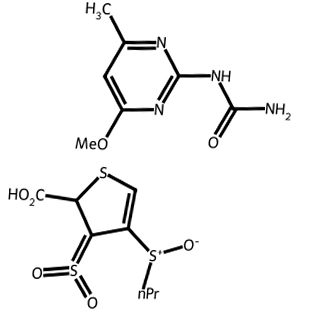 CCC[S+]([O-])C1=CSC(C(=O)O)C1=S(=O)=O.COc1cc(C)nc(NC(N)=O)n1